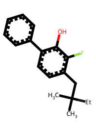 CCC(C)(C)Cc1ccc(-c2ccccc2)c(O)c1F